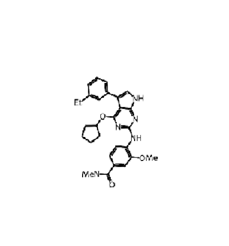 CCc1cccc(-c2c[nH]c3nc(Nc4ccc(C(=O)NC)cc4OC)nc(OC4CCCC4)c23)c1